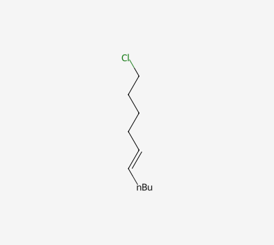 CCCCC=CCCCCCl